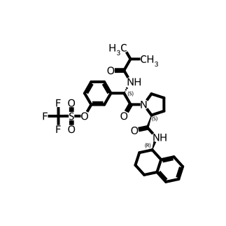 CC(C)C(=O)N[C@H](C(=O)N1CCC[C@H]1C(=O)N[C@@H]1CCCc2ccccc21)c1cccc(OS(=O)(=O)C(F)(F)F)c1